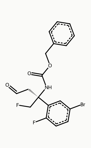 O=CC[C@](CF)(NC(=O)OCc1ccccc1)c1cc(Br)ccc1F